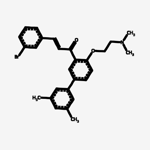 Cc1cc(C)cc(-c2ccc(OCCN(C)C)c(C(=O)C=Cc3cccc(Br)c3)c2)c1